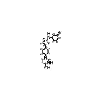 CC1CCN(c2ccc(-c3csc(Nc4cccc(Br)c4)n3)cc2)CN1